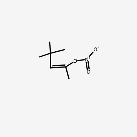 C/C(=C/C(C)(C)C)O[N+](=O)[O-]